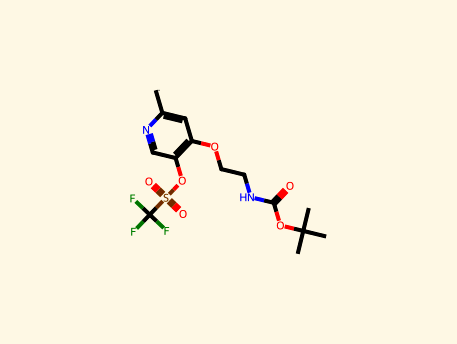 [CH2]c1cc(OCCNC(=O)OC(C)(C)C)c(OS(=O)(=O)C(F)(F)F)cn1